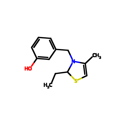 CCC1SC=C(C)N1Cc1cccc(O)c1